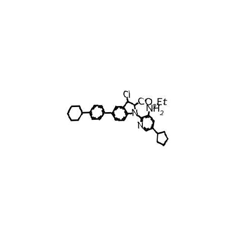 CCOC(=O)C1C(Cl)c2cc(-c3ccc(C4CCCCC4)cc3)ccc2N1c1ncc(C2CCCC2)cc1N